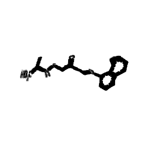 CC(NSCC(=O)COc1cccc2ccccc12)C(=O)O